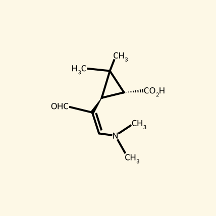 CN(C)/C=C(/C=O)[C@@H]1[C@@H](C(=O)O)C1(C)C